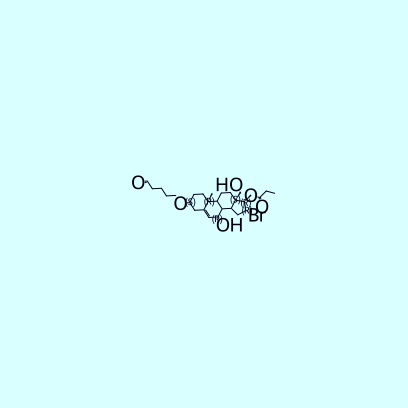 CCC(=O)O[C@H]1[C@H](Br)CC2C3C(CC[C@@]21CO)[C@@]1(C)CC[C@H](OCCCCC=O)CC1=C[C@@H]3O